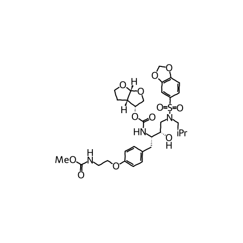 COC(=O)NCCOc1ccc(C[C@H](NC(=O)O[C@H]2CO[C@H]3OCC[C@H]32)[C@@H](O)CN(CC(C)C)S(=O)(=O)c2ccc3c(c2)OCO3)cc1